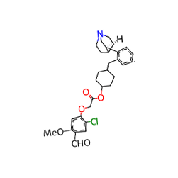 COc1cc(OCC(=O)OC2CCC(Cc3c[c]ccc3[C@@H]3CN4CCC3CC4)CC2)c(Cl)cc1C=O